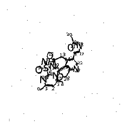 Cc1cc(C)nc(S(N)(=O)=NC(=O)Cc2c(-c3cnc(C)o3)cnc3c2COC3)n1